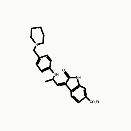 CCOC(=O)c1ccc2c(c1)NC(=O)C2=CC(C)Nc1ccc(CN2CCCCC2)cc1